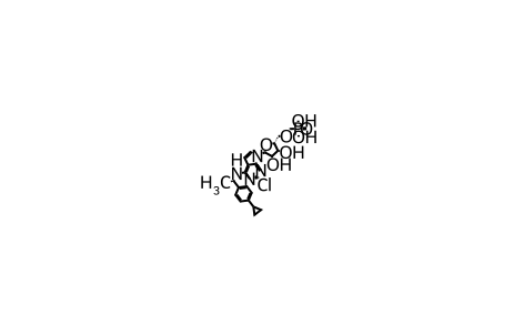 C[C@@H](Nc1nc(Cl)nc2c1ccn2C1O[C@H](COCP(=O)(O)O)[C@@H](O)[C@H]1O)c1ccc(C2CC2)cc1